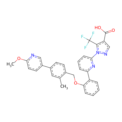 COc1ccc(-c2ccc(COc3ccccc3-c3cccc(-n4ncc(C(=O)O)c4C(F)(F)F)n3)c(C)c2)cn1